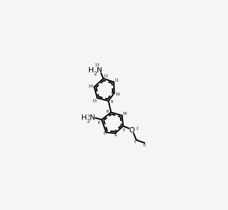 CCOc1ccc(N)c(-c2ccc(N)cc2)c1